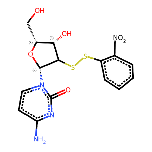 Nc1ccn([C@@H]2O[C@H](CO)[C@H](O)C2SSc2ccccc2[N+](=O)[O-])c(=O)n1